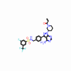 C=CC(=O)N1CCC[C@@H](n2nc(-c3ccc(CNS(=O)(=O)c4cc(F)cc(C(F)(F)F)c4)cc3)c3c(N)ncnc32)C1